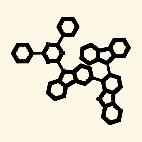 c1ccc(-c2nc(-c3ccccc3)nc(-n3c4ccccc4c4cc(-c5c(-n6c7ccccc7c7ccccc76)ccc6c5oc5ccccc56)ccc43)n2)cc1